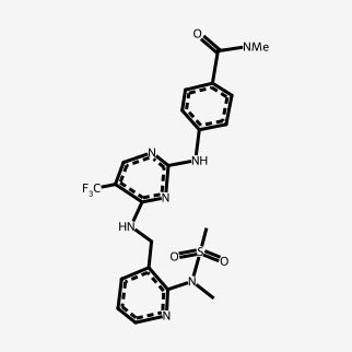 CNC(=O)c1ccc(Nc2ncc(C(F)(F)F)c(NCc3cccnc3N(C)S(C)(=O)=O)n2)cc1